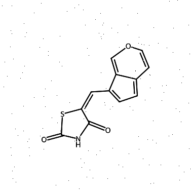 O=C1NC(=O)C(=Cc2ccc3ccocc2-3)S1